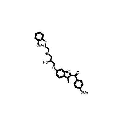 COc1ccc(C(=O)c2oc3cc(OCC(O)CNCCOc4ccccc4OC)ccc3c2C)cc1